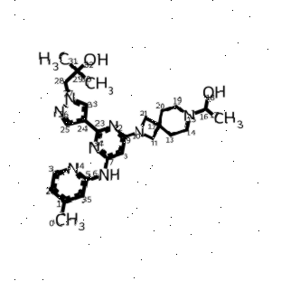 Cc1ccnc(Nc2cc(N3CC4(CCN(C(C)O)CC4)C3)nc(-c3cnn(CC(C)(C)O)c3)n2)c1